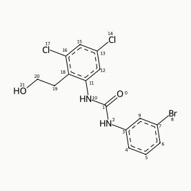 O=C(Nc1cccc(Br)c1)Nc1cc(Cl)cc(Cl)c1CCO